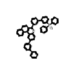 O=P(c1ccccc1)(c1ccccc1)c1cccc(-c2cccc(-c3nc4ccc(-c5cccc(-c6ccccc6)c5)cc4c4c3ccc3ccccc34)c2)c1